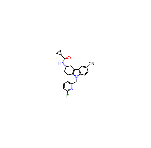 N#Cc1ccc2c(c1)c1c(n2Cc2cccc(F)n2)CC[C@@H](NC(=O)C2CC2)C1